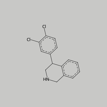 Clc1ccc(C2CNCc3ccccc32)cc1Cl